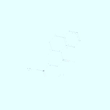 COC(=O)N[C@H](C(=O)N1c2ccccc2CCC1C)C(C)C